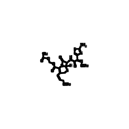 COC/C=C\C1=C(C(=O)OCOC(=O)C(C)(C)C)N2C(=O)[C@@H](NC(=O)/C(=N\OC)c3csc(N)n3)[C@@H]2SC1